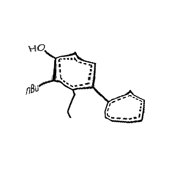 CCCCc1c(O)ccc(-c2ccccc2)c1C